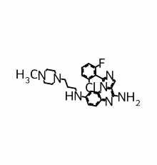 CN1CCN(CCCNc2ccc3nc(N)c4cnc(-c5c(F)cccc5Cl)n4c3c2)CC1